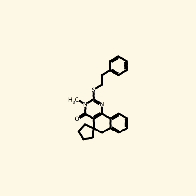 Cn1c(SCCc2ccccc2)nc2c(c1=O)C1(CCCC1)Cc1ccccc1-2